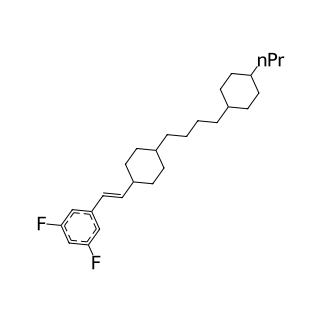 CCCC1CCC(CCCCC2CCC(C=Cc3cc(F)cc(F)c3)CC2)CC1